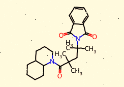 CC(C)(CC(C)(C)N1C(=O)c2ccccc2C1=O)C(=O)N1CCCC2CCCCC21